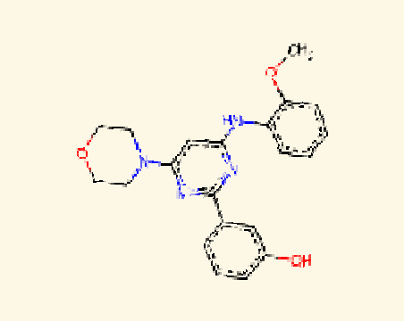 COc1ccccc1Nc1cc(N2CCOCC2)nc(-c2cccc(O)c2)n1